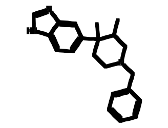 CC1CN(Cc2ccccc2)CCC1(C)c1ccc2[nH]cnc2c1